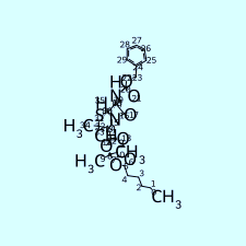 CCCCCC(=O)OC(C)(C)OC(=O)[C@@H]1N2C(=O)[C@@H](NC(=O)OCc3ccccc3)[C@H]2SC1(C)C